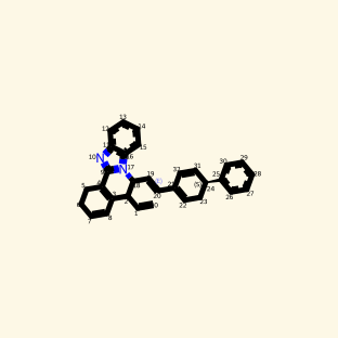 C=CC1C2=C(CCC=C2)c2nc3ccccc3n2C1/C=C/C1=CC[C@H](c2ccccc2)C=C1